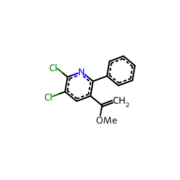 C=C(OC)c1cc(Cl)c(Cl)nc1-c1ccccc1